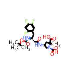 CC(C)(C)OC(=O)N[C@@H](CC(=O)N[C@@H]1CN(C(=O)O)[C@](C)(C(=O)O)C1)Cc1cc(F)c(F)cc1F